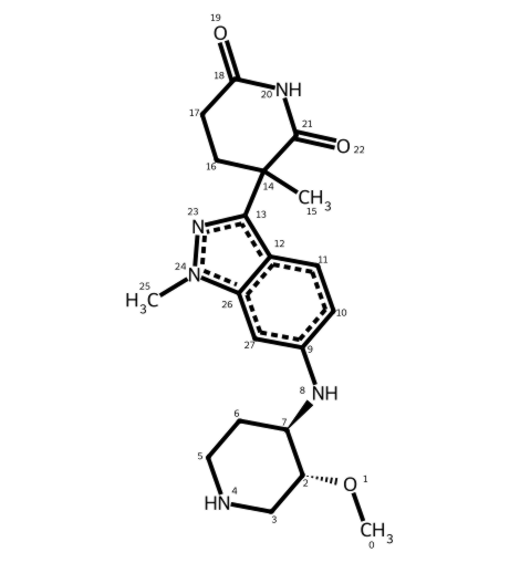 CO[C@@H]1CNCC[C@H]1Nc1ccc2c(C3(C)CCC(=O)NC3=O)nn(C)c2c1